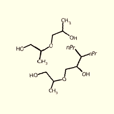 CC(O)COC(C)CO.CCCC(CCC)C(O)COC(C)CO